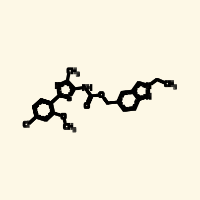 CCn1cc2cc(COC(=O)Nc3sc(-c4ccc(Cl)cc4OC)nc3C)ccc2n1